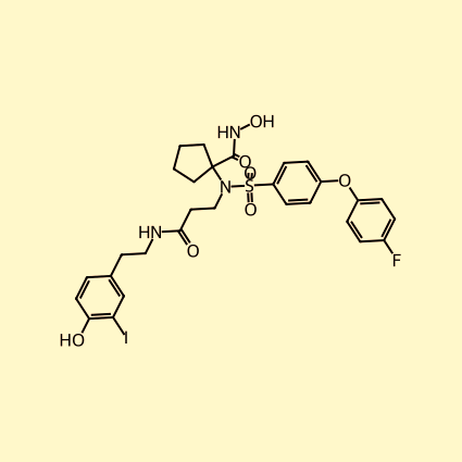 O=C(CCN(C1(C(=O)NO)CCCC1)S(=O)(=O)c1ccc(Oc2ccc(F)cc2)cc1)NCCc1ccc(O)c(I)c1